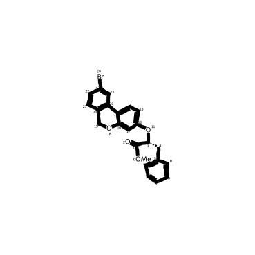 COC(=O)[C@@H](Cc1ccccc1)Oc1ccc2c(c1)OCc1ccc(Br)cc1-2